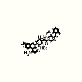 Br.CCOc1cccc(F)c1CN1CCN(C(=O)C(N)C2CCN(CCc3cc(Cl)ccc3-c3cnccc3N)CC2)CC1